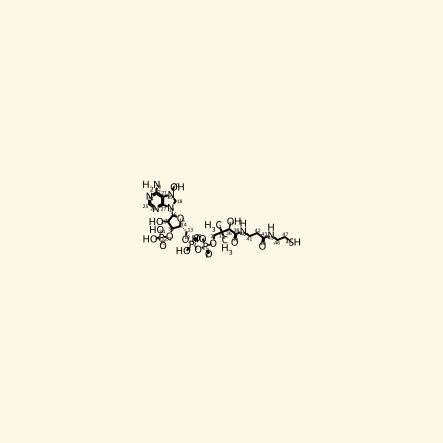 CC(C)(COP(=O)(O)OP(=O)(O)OC[C@H]1O[C@@H](N2CN(O)c3c(N)ncnc32)[C@H](O)[C@@H]1OP(=O)(O)O)[C@@H](O)C(=O)NCCC(=O)NCCS